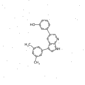 Cc1cc(C)cc(-c2c[nH]c3ncc(-c4cccc(O)c4)cc23)c1